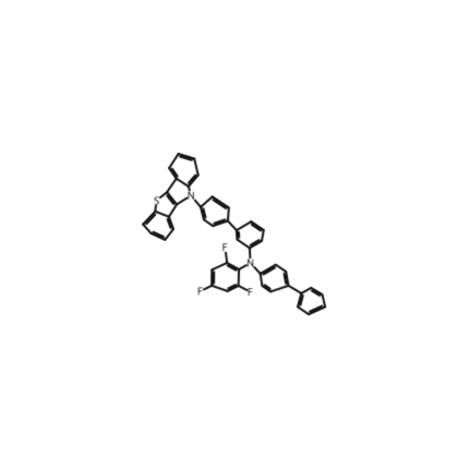 Fc1cc(F)c(N(c2ccc(-c3ccccc3)cc2)c2cccc(-c3ccc(-n4c5ccccc5c5sc6ccccc6c54)cc3)c2)c(F)c1